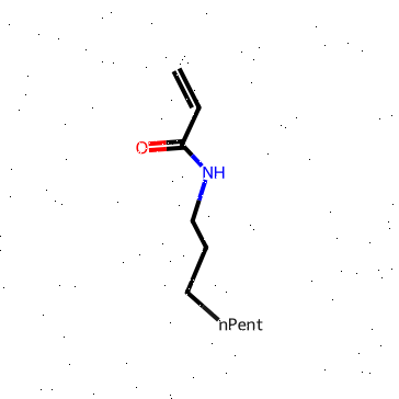 C=CC(=O)NCCCCCCCC